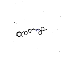 CCOC(=O)/C=C/C=C1CC(OCc2ccccc2)C1